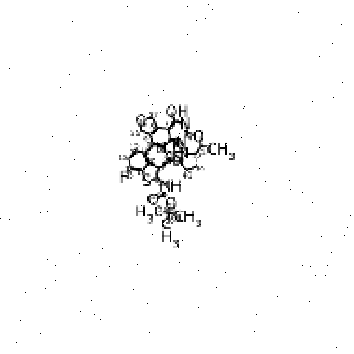 C[C@H](Oc1nc(O)c2c3c(c(-c4ccc(F)c5sc(NC(=O)OC(C)(C)C)c(C#N)c45)c(Cl)c2n1)COC3)[C@@H]1CCCN1C